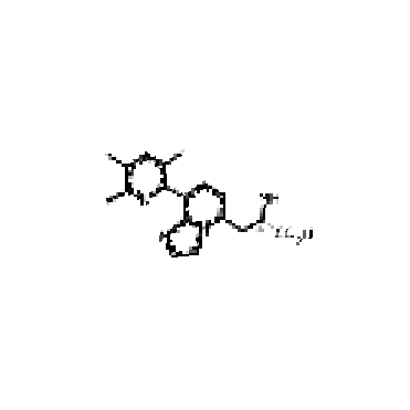 Cc1cc(C)c(-c2ccc(C[C@H](N)C(=O)O)n3ccnc23)nc1C